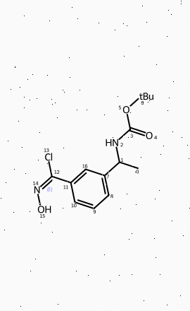 CC(NC(=O)OC(C)(C)C)c1cccc(/C(Cl)=N\O)c1